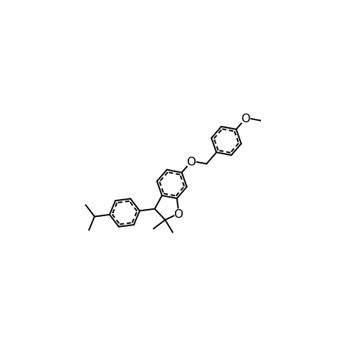 COc1ccc(COc2ccc3c(c2)OC(C)(C)C3c2ccc(C(C)C)cc2)cc1